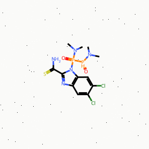 CN(C)[PH](=O)P(=O)(N(C)C)n1c(C(N)=S)nc2cc(Cl)c(Cl)cc21